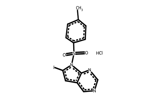 Cc1ccc(S(=O)(=O)n2c(I)cc3cncnc32)cc1.Cl